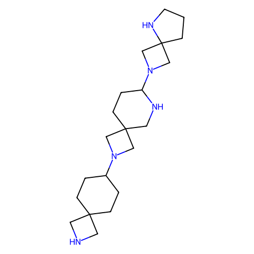 C1CNC2(C1)CN(C1CCC3(CN1)CN(C1CCC4(CC1)CNC4)C3)C2